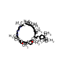 CO[C@H]1C[C@@H]2CC[C@@H](C)[C@@](O)(O2)C(=O)C(=O)N2CCCC[C@H]2C(=O)O[C@H]([C@H](C)C[C@@H]2CC[C@@H](OP(C)(C)=O)[C@H](OC)C2)CC(=O)[C@H](C)C=C(C)[C@@H](O)[C@@H](OC)C(=O)[C@H](C)C[C@H](C)/C=C/C=C/C=C\1C